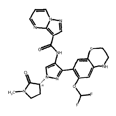 CN1CC[C@@H](n2cc(NC(=O)c3cnn4cccnc34)c(-c3cc4c(cc3OC(F)F)NCCS4)n2)C1=O